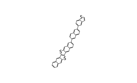 c1ccc2cc3c(cc2c1)sc1c2cc4ccc(-c5ccc6cc(-c7ccc8sccc8c7)ccc6c5)cc4cc2sc31